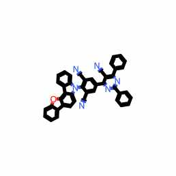 N#Cc1cc(-c2nc(-c3ccccc3)nc(-c3ccccc3)c2C#N)cc(C#N)c1-n1c2ccccc2c2c3oc4ccccc4c3ccc21